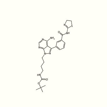 CC(C)(C)OC(=O)NCCCCn1nc(-c2cccc(C(=O)NC3=NCCS3)c2)c2c(N)ncnc21